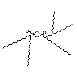 CCCCCCCCCCCCN(CCN(CCCCCCCCC)CCCCCCCCC)CC(=O)N1CCN([C@@H](C=O)N(CCCCCCCCCCCC)CCCCCCCCCCCC)CC1